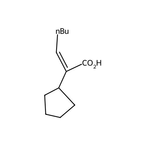 CCCCC=C(C(=O)O)C1CCCC1